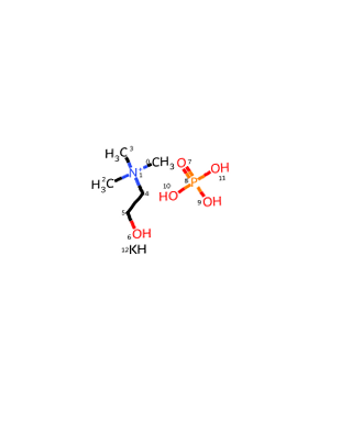 C[N+](C)(C)CCO.O=P(O)(O)O.[KH]